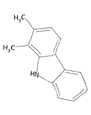 Cc1ccc2c([nH]c3ccccc32)c1C